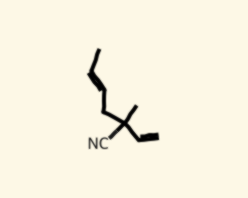 C=CC(C)(C#N)CC=CC